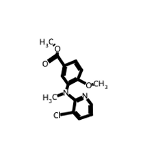 COC(=O)c1ccc(OC)c(N(C)c2ncccc2Cl)c1